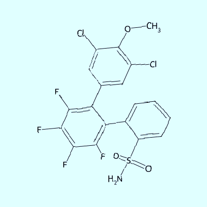 COc1c(Cl)cc(-c2c(F)c(F)c(F)c(F)c2-c2ccccc2S(N)(=O)=O)cc1Cl